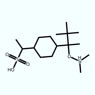 CC(C1CCC(C(C)(O[SiH](C)C)C(C)(C)C)CC1)S(=O)(=O)O